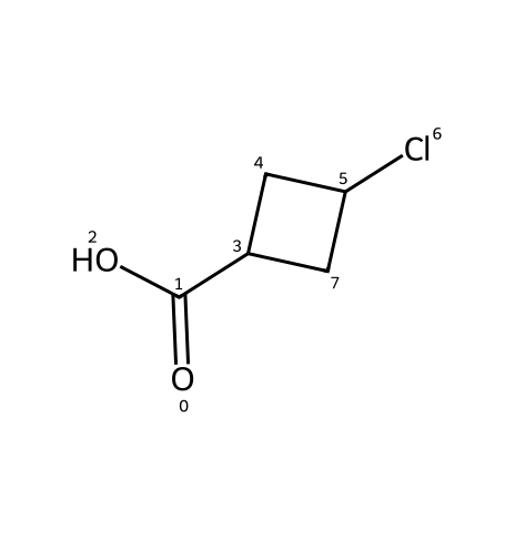 O=C(O)C1CC(Cl)C1